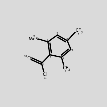 CSc1cc(C(F)(F)F)cc(C(F)(F)F)c1C(=O)Cl